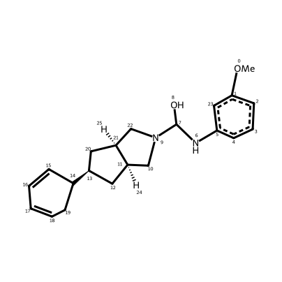 COc1cccc(NC(O)N2C[C@H]3C[C@@H](C4C=CC=CC4)C[C@H]3C2)c1